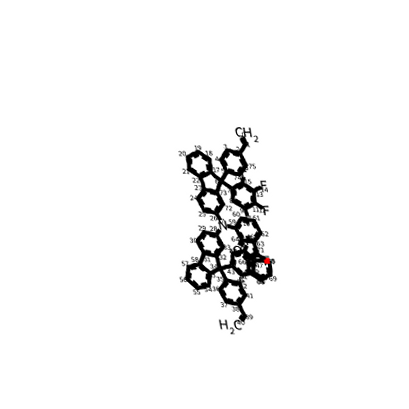 C=Cc1ccc(C2(c3cc(F)c(F)c(F)c3F)c3ccccc3-c3ccc(N(c4ccc5c(c4)C(c4ccc(C=C)cc4)(c4cc(F)c(F)c(F)c4F)c4ccccc4-5)c4cccc5c4oc4ccccc45)cc32)cc1